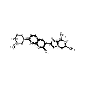 Cc1cn2cc(-c3cc4ccc(N5CCN[C@@H](C)C5)nc4oc3=O)nc2c(C)n1